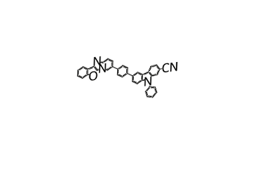 N#Cc1ccc2c3cc(-c4ccc(-c5ccc6nc7c8ccccc8oc7n6c5)cc4)ccc3n(-c3ccccc3)c2c1